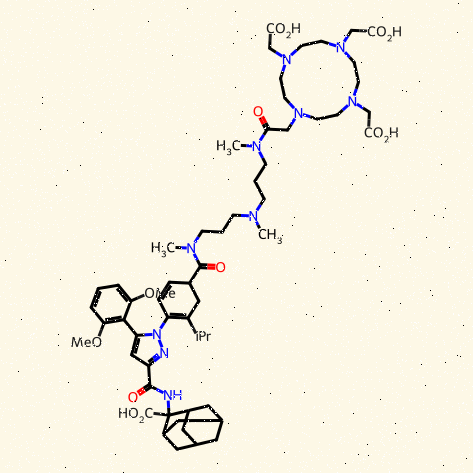 COc1cccc(OC)c1-c1cc(C(=O)NC2(C(=O)O)C3CC4CC(C3)CC2C4)nn1C1=C(C(C)C)CC(C(=O)N(C)CCCN(C)CCCN(C)C(=O)CN2CCN(CC(=O)O)CCN(CC(=O)O)CCN(CC(=O)O)CC2)C=C1